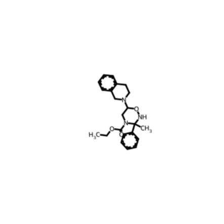 CCOC(=O)N1CC(N2CCc3ccccc3C2)ONC1(C)c1ccccc1